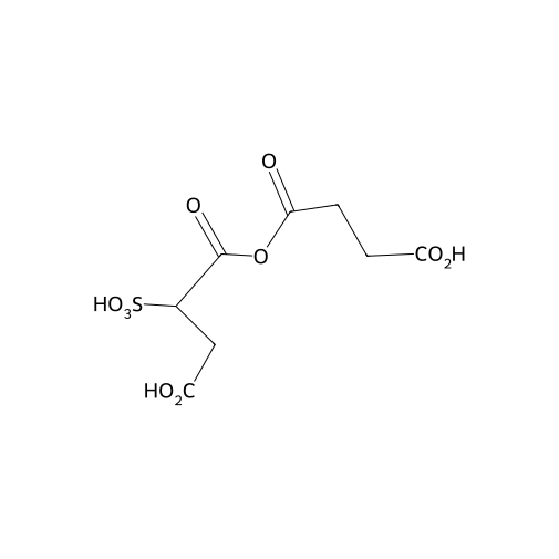 O=C(O)CCC(=O)OC(=O)C(CC(=O)O)S(=O)(=O)O